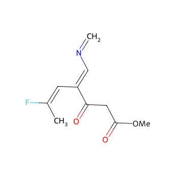 C=N/C=C(\C=C(/C)F)C(=O)CC(=O)OC